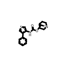 O=C(Nc1cscc1-c1ccccc1)OC1CN2CCC1CC2